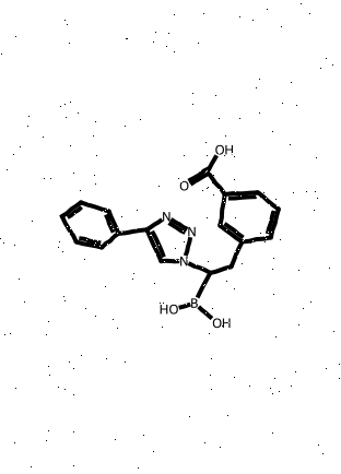 O=C(O)c1cccc(CC(B(O)O)n2cc(-c3ccccc3)nn2)c1